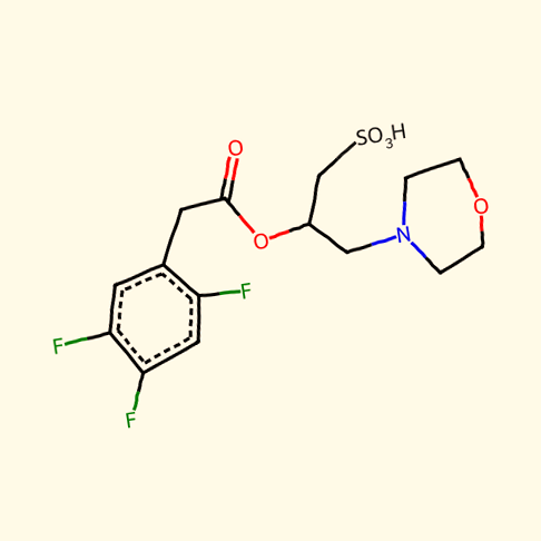 O=C(Cc1cc(F)c(F)cc1F)OC(CN1CCOCC1)CS(=O)(=O)O